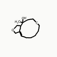 CC1(O)CCCCCCCCC=C2COCC21